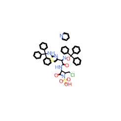 O=C(NC1C(=O)N(S(=O)(=O)O)C1CCl)C(=NOC(c1ccccc1)(c1ccccc1)c1ccccc1)c1csc(NC(c2ccccc2)(c2ccccc2)c2ccccc2)n1.c1ccncc1